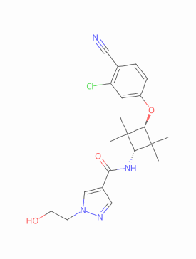 CC1(C)[C@H](NC(=O)c2cnn(CCO)c2)C(C)(C)[C@H]1Oc1ccc(C#N)c(Cl)c1